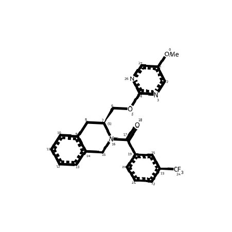 COc1cnc(OC[C@@H]2Cc3ccccc3CN2C(=O)c2cccc(C(F)(F)F)c2)nc1